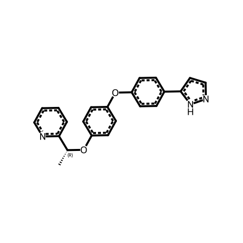 C[C@@H](Oc1ccc(Oc2ccc(-c3ccn[nH]3)cc2)cc1)c1ccccn1